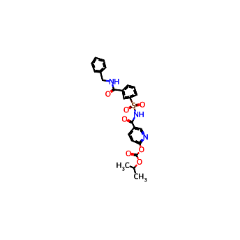 CC(C)OC(=O)Oc1ccc(C(=O)NS(=O)(=O)c2cccc(C(=O)NCc3ccccc3)c2)cn1